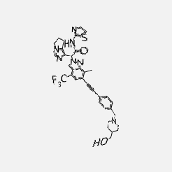 Cc1c(C#Cc2ccc(CN3CCC(CO)CC3)cc2)cc(C(F)(F)F)c2cn(C(C(=O)Nc3nccs3)c3ncn4c3CCC4)nc12